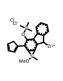 CO[Si]1(C)c2c(C3=CC=CC3)c(O[Si](C)(C)C)c3c(c21)[CH]([Zr+2])c1ccccc1-3.[Cl-].[Cl-]